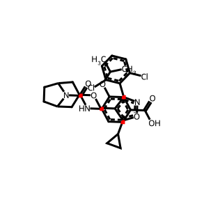 CC(C)Oc1cc(C(=O)O)ccc1NC(=O)N1C2CCC1CC(OCc1c(-c3c(Cl)cccc3Cl)noc1C1CC1)C2